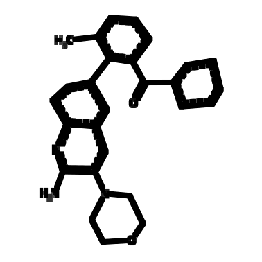 Cc1cccc(C(=O)c2ccccc2)c1-c1ccc2nc(N)c(N3CCOCC3)cc2c1